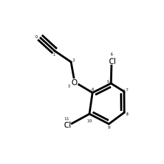 C#CCOc1c(Cl)[c]ccc1Cl